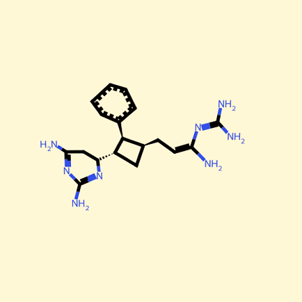 NC(N)=N/C(N)=C\C[C@H]1C[C@H](C2CC(N)=NC(N)=N2)[C@H]1c1ccccc1